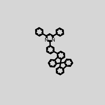 c1ccc(-c2cc(-c3ccccc3)nc(-c3cccc(-c4cccc5c4-c4ccccc4C54c5ccccc5-c5ccccc54)c3)n2)cc1